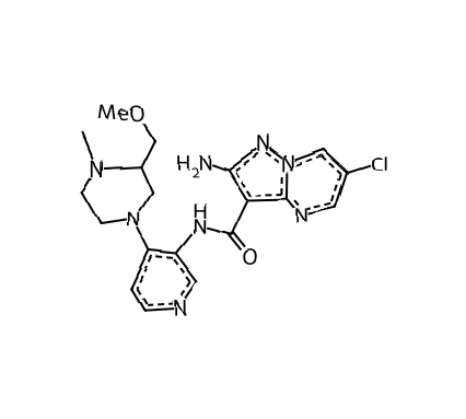 COCC1CN(c2ccncc2NC(=O)c2c(N)nn3cc(Cl)cnc23)CCN1C